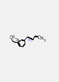 C=C/C=C/c1cccc(CC)c1